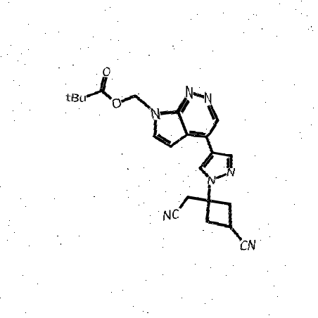 CC(C)(C)C(=O)OCn1ccc2c(-c3cnn(C4(CC#N)CC(C#N)C4)c3)cnnc21